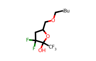 CCC(C)COCC1CC(F)(F)C(O)(C(F)(F)F)O1